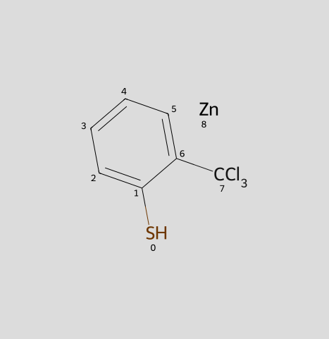 Sc1ccccc1C(Cl)(Cl)Cl.[Zn]